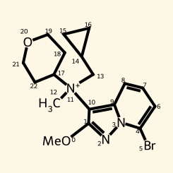 COc1nn2c(Br)cccc2c1[N+](C)(CC1CC1)C1CCOCC1